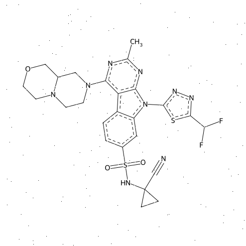 Cc1nc(N2CCN3CCOCC3C2)c2c3ccc(S(=O)(=O)NC4(C#N)CC4)cc3n(-c3nnc(C(F)F)s3)c2n1